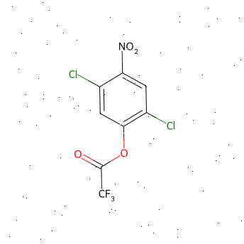 O=C(Oc1cc(Cl)c([N+](=O)[O-])cc1Cl)C(F)(F)F